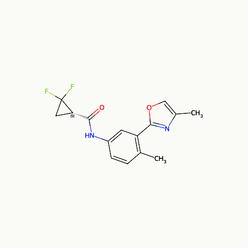 Cc1coc(-c2cc(NC(=O)[C@@H]3CC3(F)F)ccc2C)n1